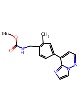 Cc1cc(-c2ccnn3ccnc23)ccc1CNC(=O)OC(C)(C)C